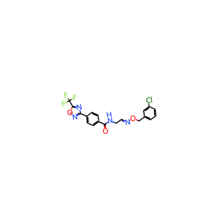 O=C(NCC=NOCc1cccc(Cl)c1)c1ccc(-c2noc(C(F)(F)F)n2)cc1